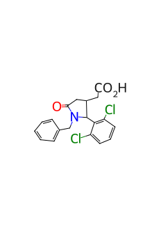 O=C(O)CC1CC(=O)N(Cc2ccccc2)C1c1c(Cl)cccc1Cl